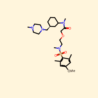 COc1cc(C)c(S(=O)(=O)N(C)CCOCC(=O)N(C)C2CCC[C@H](CN3CCN(C)CC3)C2)c(C)c1